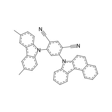 Cc1ccc2c(c1)c1cc(C)ccc1n2-c1cc(-n2c3ccccc3c3c4ccccc4ccc32)c(C#N)cc1C#N